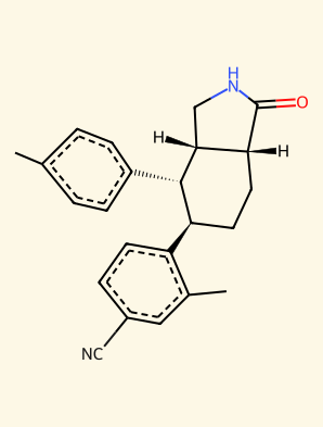 Cc1ccc([C@@H]2[C@@H]3CNC(=O)[C@@H]3CC[C@H]2c2ccc(C#N)cc2C)cc1